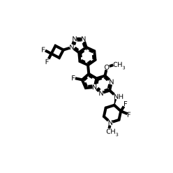 COc1nc(N[C@@H]2CCN(C)CC2(F)F)nn2cc(F)c(-c3ccc4nnn(C5CC(F)(F)C5)c4c3)c12